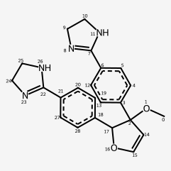 COC1(c2ccc(C3=NCCN3)cc2)C=COC1c1ccc(C2=NCCN2)cc1